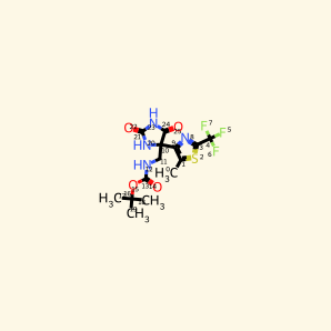 Cc1sc(C(F)(F)F)nc1C1(CNC(=O)OC(C)(C)C)NC(=O)NC1=O